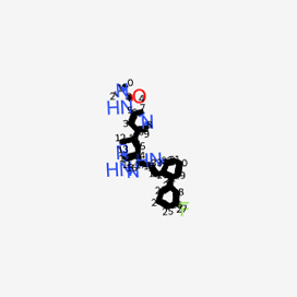 CN(C)C(=O)Nc1cncc(-c2cnc3[nH]nc(-c4cc5c(-c6cccc(F)c6)cccc5[nH]4)c3c2)c1